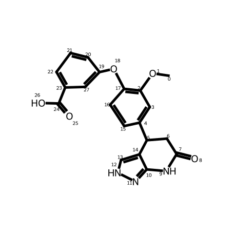 COc1cc(C2CC(=O)Nc3n[nH]cc32)ccc1Oc1cccc(C(=O)O)c1